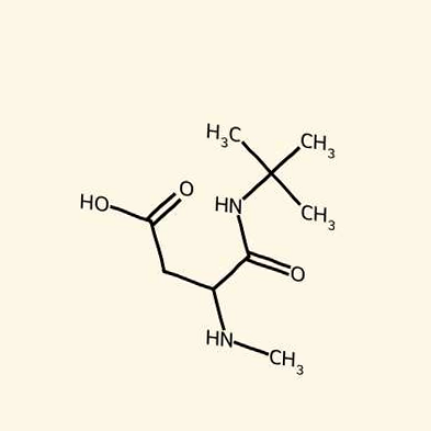 CNC(CC(=O)O)C(=O)NC(C)(C)C